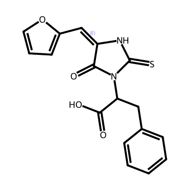 O=C(O)C(Cc1ccccc1)N1C(=O)/C(=C\c2ccco2)NC1=S